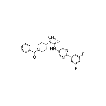 CN(C(=O)Nc1cnc(-c2cc(F)cc(F)c2)nc1)C1CCN(C(=O)c2ccccc2)CC1